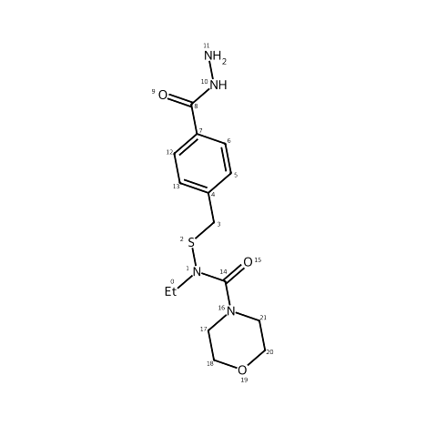 CCN(SCc1ccc(C(=O)NN)cc1)C(=O)N1CCOCC1